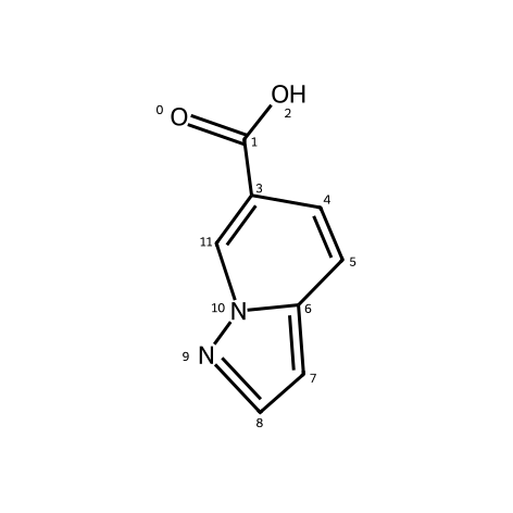 O=C(O)c1ccc2ccnn2c1